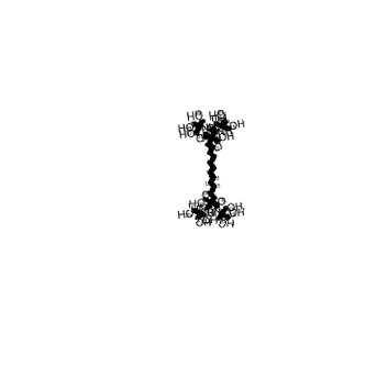 O=C(O)C(CCCCCCCCCCCCC(C(=O)O)(C(=O)NC(CO)(CO)CO)C(=O)NC(CO)(CO)CO)(C(=O)NC(CO)(CO)CO)C(=O)NC(CO)(CO)CO